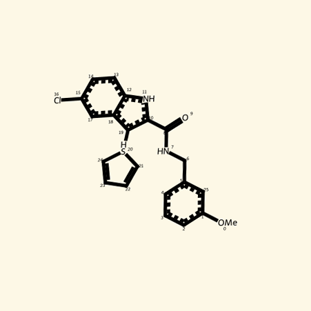 COc1cccc(CNC(=O)c2[nH]c3ccc(Cl)cc3c2[SH]2C=CC=C2)c1